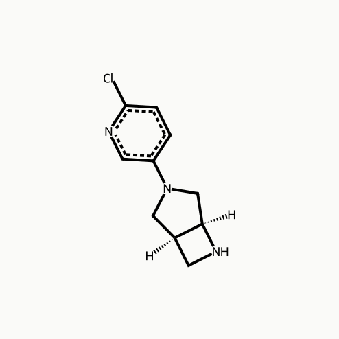 Clc1ccc(N2C[C@@H]3CN[C@@H]3C2)cn1